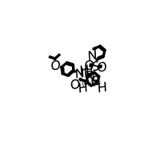 CC(C)Oc1ccc(NC(=O)[C@@H]2C[C@@H]3CC[C@H]2N(S(=O)(=O)c2ccccn2)C3)cc1